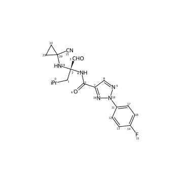 CC(C)C[C@@](C=O)(NC(=O)c1cnn(-c2ccc(F)cc2)n1)NC1(C#N)CC1